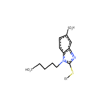 CCSc1nc2cc(S(=O)(=O)O)ccc2n1CCCCS(=O)(=O)O